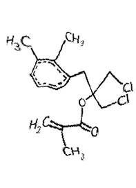 C=C(C)C(=O)OC(CCl)(CCl)Cc1cccc(C)c1C